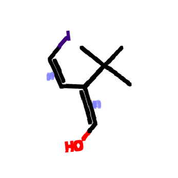 CC(C)(C)C(/C=C\I)=C/O